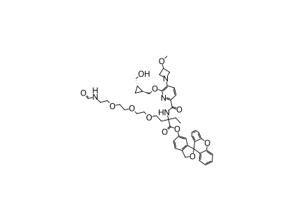 CCC(CCOCCOCCOCCNC=O)(NC(=O)c1ccc(N2CC(OC)C2)c(OC[C@H]2C[C@@H]2CO)n1)C(=O)Oc1ccc2c(c1)C1(OC2)c2ccccc2Oc2ccccc21